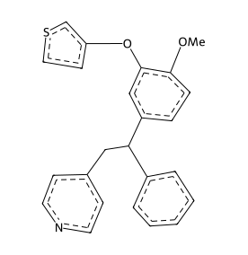 COc1ccc(C(Cc2ccncc2)c2ccccc2)cc1Oc1ccsc1